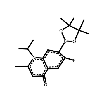 Cc1cc(=O)c2cc(F)c(B3OC(C)(C)C(C)(C)O3)cc2n1C(C)C